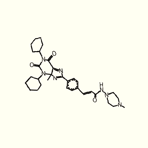 CN1CCN(NC(=O)/C=C/c2ccc(C3=NC4(C)C(=N3)C(=O)N(C3CCCCC3)C(=O)N4C3CCCCC3)cc2)CC1